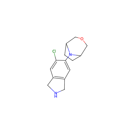 Clc1cc2c(cc1N1C3CCC1COC3)CNC2